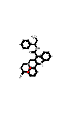 CCC(NC(=O)c1c(CN2CCC(=O)CC2)c(-c2ccccc2)nc2ccccc12)c1ccccc1